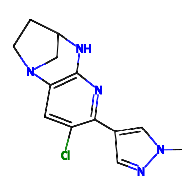 Cn1cc(-c2nc3c(cc2Cl)N2CCC(C2)N3)cn1